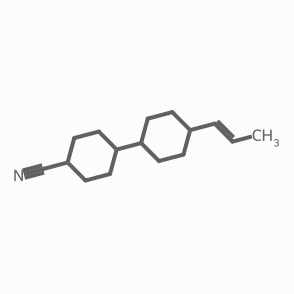 C/C=C/C1CCC(C2CCC(C#N)CC2)CC1